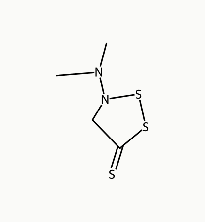 CN(C)N1CC(=S)SS1